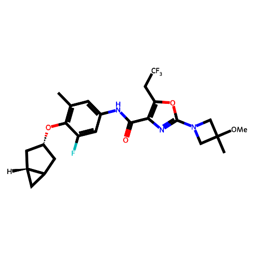 COC1(C)CN(c2nc(C(=O)Nc3cc(C)c(O[C@@H]4CC5C[C@@H]5C4)c(F)c3)c(CC(F)(F)F)o2)C1